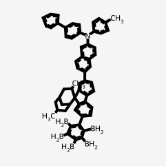 Bc1c(B)c(B)c(-c2ccc3c(c2)C2(c4cc(-c5ccc6cc(N(c7ccc(C)cc7)c7ccc(-c8ccccc8)cc7)ccc6c5)ccc4-3)C(C)CC3CC(C)CC2C3)c(B)c1B